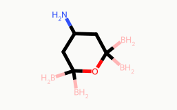 BC1(B)CC(N)CC(B)(B)O1